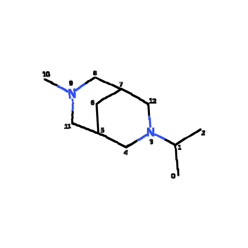 CC(C)N1CC2CC(CN(C)C2)C1